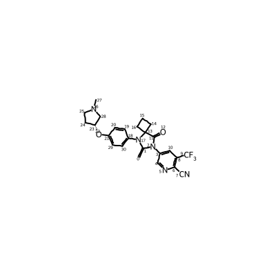 C=C1N(c2cnc(C#N)c(C(F)(F)F)c2)C(=O)C2(CCC2)N1c1ccc(O[C@@H]2CCN(C)C2)cc1